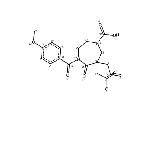 C=CCC1(CC(=C)Cl)CN(C(=O)O)CCN(C(=O)c2ccc(OC)cc2)C1=O